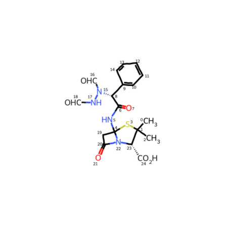 CC1(C)SC2(NC(=O)[C@@H](c3ccccc3)N(C=O)NC=O)CC(=O)N2[C@H]1C(=O)O